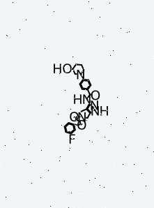 O=C(Nc1n[nH]c2c1CN(S(=O)(=O)c1cccc(F)c1)C2)c1ccc(N2CCCC(O)C2)cc1